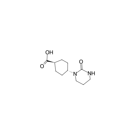 O=C1NCCCN1[C@H]1CC[C@H](C(=O)O)CC1